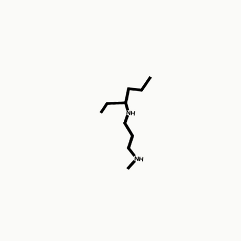 CCCC(CC)NCCCNC